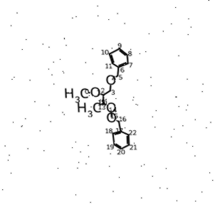 COC(COCc1ccccc1)[C@H](C)OOCc1ccccc1